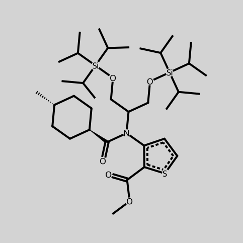 COC(=O)c1sccc1N(C(=O)[C@H]1CC[C@H](C)CC1)C(CO[Si](C(C)C)(C(C)C)C(C)C)CO[Si](C(C)C)(C(C)C)C(C)C